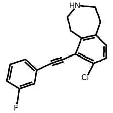 Fc1cccc(C#Cc2c(Cl)ccc3c2CCNCC3)c1